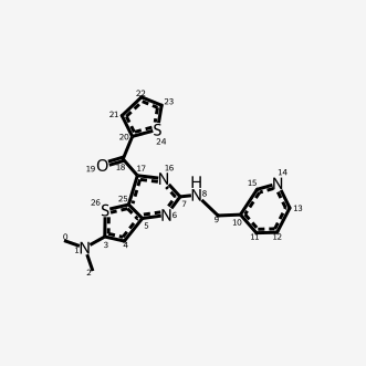 CN(C)c1cc2nc(NCc3cccnc3)nc(C(=O)c3cccs3)c2s1